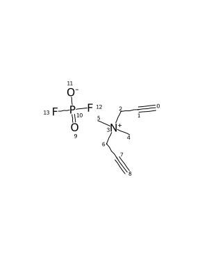 C#CC[N+](C)(C)CC#C.O=P([O-])(F)F